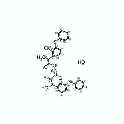 CC(C(=O)[O][Al+][O]C(=O)C(C)c1cccc(Sc2ccccc2)c1Cl)c1cccc(Sc2ccccc2)c1Cl.[OH-]